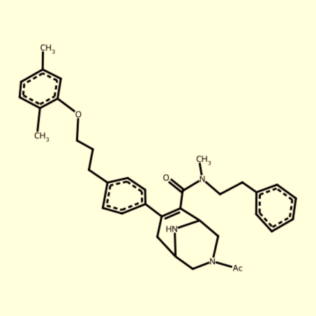 CC(=O)N1CC2CC(c3ccc(CCCOc4cc(C)ccc4C)cc3)=C(C(=O)N(C)CCc3ccccc3)C(C1)N2